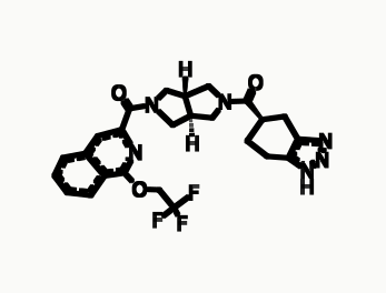 O=C(c1cc2ccccc2c(OCC(F)(F)F)n1)N1C[C@@H]2CN(C(=O)[C@@H]3CCc4[nH]nnc4C3)C[C@H]2C1